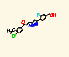 Cc1cc(C(=O)/C=C/c2cc(-c3ccc(CO)cc3F)n[nH]2)ccc1Cl